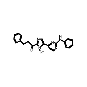 CC(C)n1c(-c2ccnc(Nc3ccccc3)n2)cnc1C(=O)CCc1ccccc1